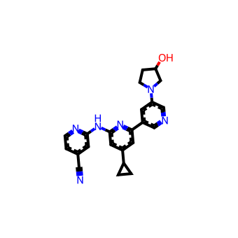 N#Cc1ccnc(Nc2cc(C3CC3)cc(-c3cncc(N4CCC(O)C4)c3)n2)c1